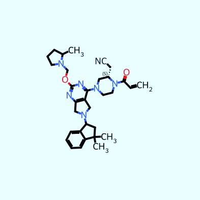 C=CC(=O)N1CCN(c2nc(OCN3CCCC3C)nc3c2CN(C2CC(C)(C)c4ccccc42)C3)C[C@@H]1CC#N